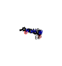 C#Cc1cccc(C(=O)N2CCC3(CCN(c4ccc(-c5cc(OCC)cn6ncc(C#N)c56)cn4)CC3)C2)c1